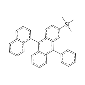 C[Si](C)(C)c1ccc2c(-c3cccc4ccccc34)c3ccccc3c(-c3ccccc3)c2c1